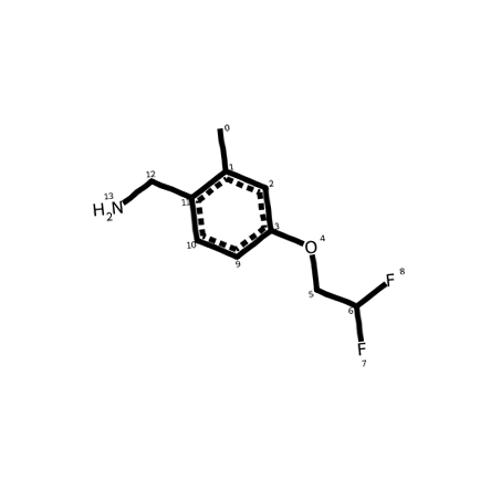 Cc1cc(OCC(F)F)ccc1CN